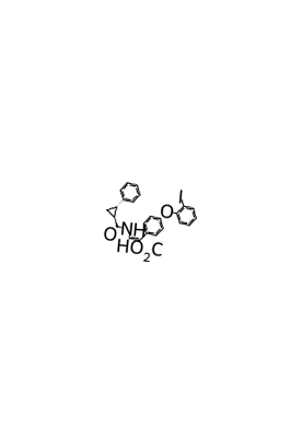 O=C(O)C(=Cc1ccc(Oc2ccccc2I)cc1)NC(=O)[C@H]1C[C@@H]1c1ccccc1